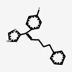 Fc1ccc(/C(=C\CCCc2ccccc2)c2c[nH]cn2)cc1